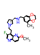 COc1ccc2ncc(F)c(CCN3CC[C@@H](CNCc4cc(C)c5c(c4)OCCO5)C3)c2n1